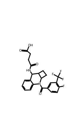 O=C(O)CCC(=O)NC1c2ccccc2N(C(=O)c2ccc(F)c(C(F)(F)F)c2)C2CCC12